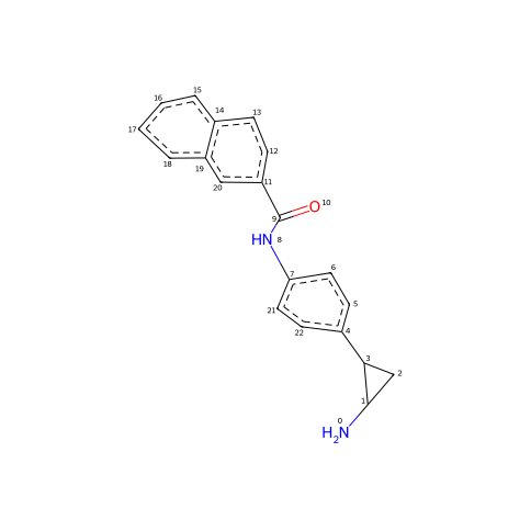 NC1CC1c1ccc(NC(=O)c2ccc3ccccc3c2)cc1